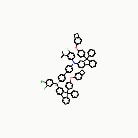 C=C(C)c1cc(N(c2ccc(-c3ccc([C@@H](c4ccc(F)c(F)c4)c4ccc5c(c4)C(c4ccccc4)(c4ccc(Oc6ccc7c(c6)CC7)cc4)c4ccccc4-5)cc3)cc2)c2ccc3c(c2)C(c2ccccc2)(c2ccc(Oc4ccc5c(c4)CC5)cc2)c2ccccc2-3)ccc1F